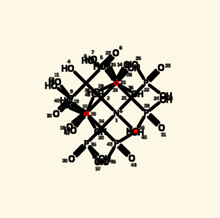 C[N+](C(C(O)(P(=O)(O)O)P(=O)(O)O)(P(=O)(O)O)P(=O)(O)O)(C(P(=O)(O)O)(P(=O)(O)O)P(=O)(O)O)C(P(=O)(O)O)(P(=O)(O)O)P(=O)(O)O